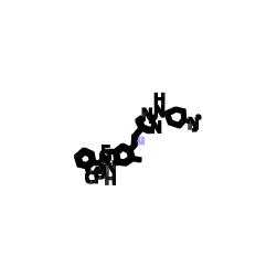 Cc1cc(NS(=O)(=O)c2ccccc2Cl)c(F)cc1/C=C/c1cnc(N[C@H]2CC[C@H](N(C)C)CC2)nc1